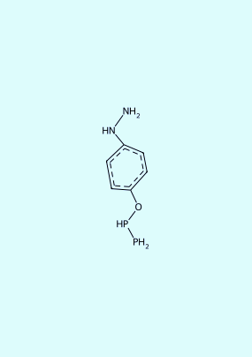 NNc1ccc(OPP)cc1